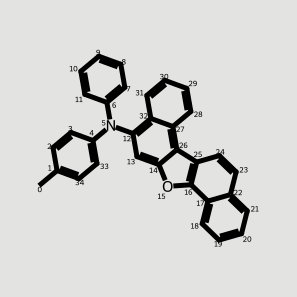 Cc1ccc(N(c2ccccc2)c2cc3oc4c5ccccc5ccc4c3c3ccccc23)cc1